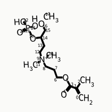 C=C(C)C(=O)OCCC[N+](C)(C)CCC(COC)OP(=O)(O)O